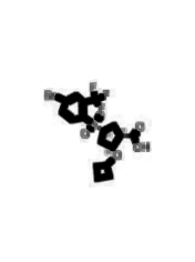 O=C(O)[C@@H]1C[C@@H](S(=O)(=O)c2ccc(Br)cc2C(F)(F)F)C[C@H]1OC1CCC1